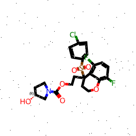 O=C(OCCC1(S(=O)(=O)c2ccc(Cl)cc2)CCOc2c(F)ccc(F)c21)N1CC[C@@H](O)C1